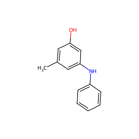 Cc1cc(O)cc(Nc2ccccc2)c1